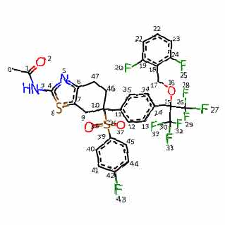 CC(=O)Nc1nc2c(s1)CC(c1ccc(C(OCc3c(F)cccc3F)(C(F)(F)F)C(F)(F)F)cc1)(S(=O)(=O)c1ccc(F)cc1)CC2